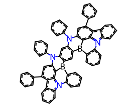 c1ccc(-c2cc3c4c5c2c2ccccc2n5-c2ccccc2B4c2cc4c(cc2N3c2ccccc2)N(c2ccccc2)c2cc(-c3ccccc3)c3c5ccccc5n5c3c2B4c2ccccc2-5)cc1